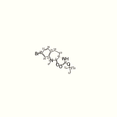 CN1C(=O)[C@@H](NC(=O)OC(C)(C)C)CCc2ccc(Br)cc21